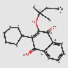 CC(C)(C)CC(C)(C)OC1=C(C2CCCCC2)C(=O)c2ccccc2C1=O